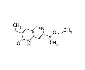 C=C(OCC)c1cc2[nH]c(=O)c(CC)cc2cn1